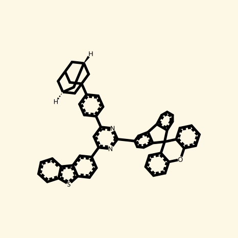 c1ccc2c(c1)Oc1ccccc1C21c2ccccc2-c2cc(-c3nc(-c4ccc(C56CC7C[C@H](C5)C[C@H](C7)C6)cc4)cc(-c4ccc5sc6ccccc6c5c4)n3)ccc21